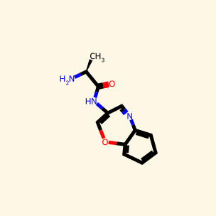 C[C@H](N)C(=O)NC1=COc2ccccc2N=C1